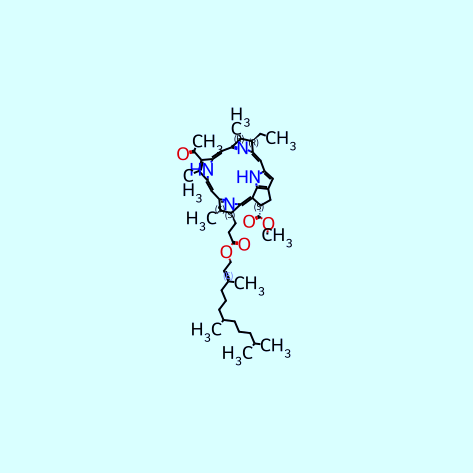 CC[C@H]1c2cc3cc4c([nH]3)c(c3nc(cc5[nH]c(cc(n2)[C@@H]1C)c(C(C)=O)c5C)[C@@H](C)[C@@H]3CCC(=O)OC/C=C(\C)CCCC(C)CCCC(C)C)[C@@H](C(=O)OC)C4